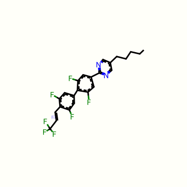 CCCCCc1cnc(-c2cc(F)c(-c3cc(F)c(/C=C/C(F)(F)F)c(F)c3)c(F)c2)nc1